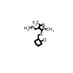 Cn1nc(C(F)(F)F)c(C=NN)c1SCc1ccccc1Cl